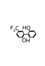 Oc1ccccc1-c1cc(C(F)(F)F)ccc1O